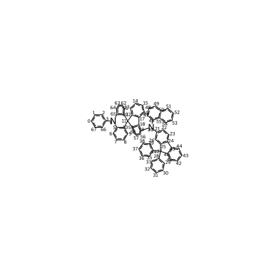 c1ccc(N2c3ccccc3C3(c4ccccc4-c4c(N(c5ccc6c(c5)C(c5ccccc5)(c5ccccc5)c5ccccc5-6)c5cccc6ccccc56)cccc43)c3ccccc32)cc1